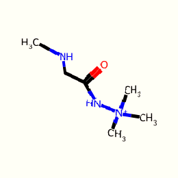 CNCC(=O)N[N+](C)(C)C